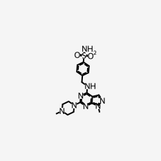 CN1CCN(c2nc(NCc3ccc(S(N)(=O)=O)cc3)c3cnn(C)c3n2)CC1